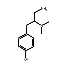 CN(C)C(CN)Cc1ccc(O)cc1